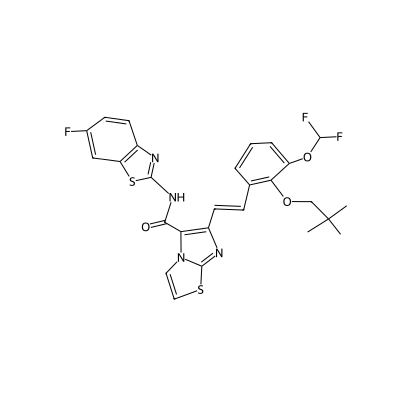 CC(C)(C)COc1c(C=Cc2nc3sccn3c2C(=O)Nc2nc3ccc(F)cc3s2)cccc1OC(F)F